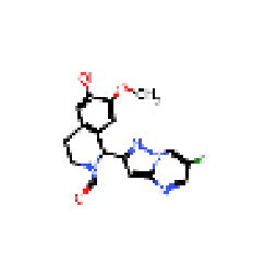 COc1cc2c(cc1O)CCN(C=O)C2c1cc2ncc(Cl)cn2n1